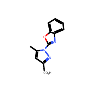 Cc1cc(C(=O)O)nn1-c1nc2ccccc2o1